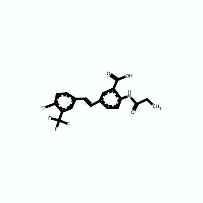 CCC(=O)Nc1ccc(/C=C/c2ccc(Cl)c(C(F)(F)F)c2)cc1C(=O)O